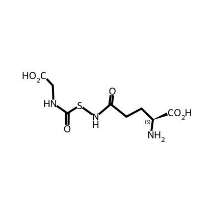 N[C@@H](CCC(=O)NSC(=O)NCC(=O)O)C(=O)O